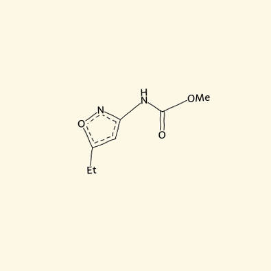 CCc1cc(NC(=O)OC)no1